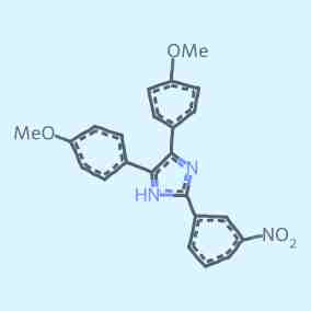 COc1ccc(-c2nc(-c3cccc([N+](=O)[O-])c3)[nH]c2-c2ccc(OC)cc2)cc1